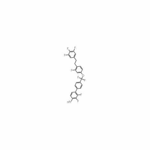 CCCc1ccc(-c2ccc(C(F)(F)Oc3ccc(CCc4cc(F)c(F)c(F)c4)c(F)c3)cc2)c(F)c1F